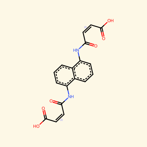 O=C(O)/C=C\C(=O)Nc1cccc2c(NC(=O)/C=C\C(=O)O)cccc12